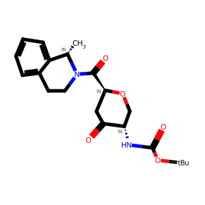 C[C@H]1c2ccccc2CCN1C(=O)[C@@H]1CC(=O)[C@@H](NC(=O)OC(C)(C)C)CO1